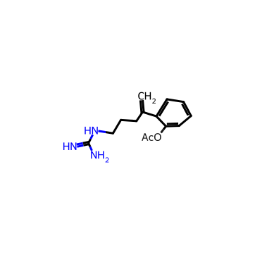 C=C(CCCNC(=N)N)c1ccccc1OC(C)=O